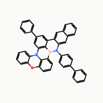 c1ccc(-c2ccc(N3B4c5cccc6c5N(c5ccccc5O6)c5cc(-c6ccccc6)cc(c54)-c4cc5ccccc5cc43)cc2)cc1